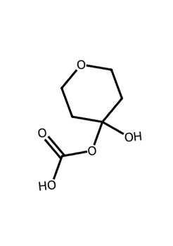 O=C(O)OC1(O)CCOCC1